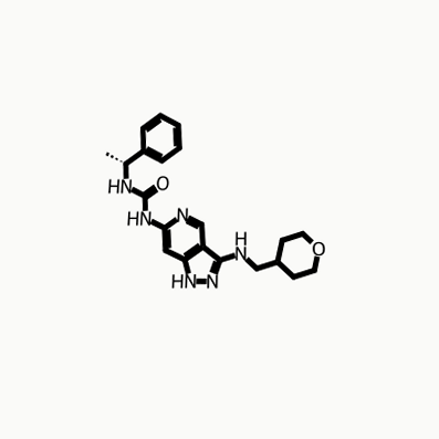 C[C@@H](NC(=O)Nc1cc2[nH]nc(NCC3CCOCC3)c2cn1)c1ccccc1